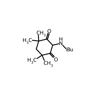 CCC(C)NC1C(=O)C(C)(C)CC(C)(C)C1=O